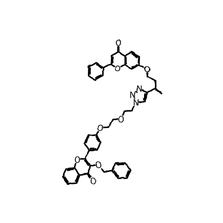 CC(CCOc1ccc2c(=O)cc(-c3ccccc3)oc2c1)c1cn(CCOCCOc2ccc(-c3oc4ccccc4c(=O)c3OCc3ccccc3)cc2)nn1